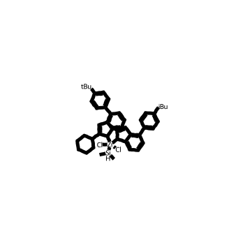 CCC(C)c1ccc(-c2cccc3c2C=C(C)[CH]3[Zr]([Cl])([Cl])([CH]2C(C3CCCCC3)=Cc3c(-c4ccc(C(C)(C)C)cc4)cccc32)[SiH](C)C)cc1